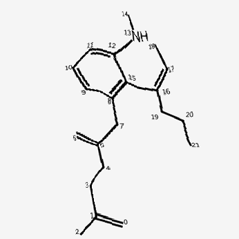 C=C(C)CCC(=C)Cc1cccc(NC)c1/C(=C\C)CCC